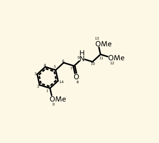 COc1cccc(CC(=O)NCC(OC)OC)c1